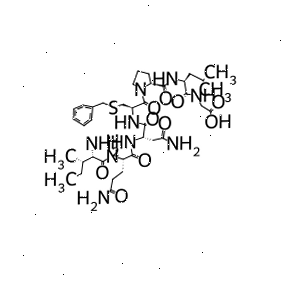 CC[C@H](C)[C@H](N)C(=O)N[C@@H](CCC(N)=O)C(=O)N[C@@H](CC(N)=O)C(=O)N[C@@H](CSCc1ccccc1)C(=O)N1CCC[C@H]1C(=O)N[C@@H](CC(C)C)C(=O)NCC(=O)O